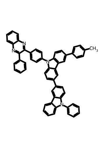 Cc1ccc(-c2ccc3c(c2)c2cc(-c4ccc5c(c4)c4ccccc4n5-c4ccccc4)ccc2n3-c2ccc(-c3nc4ccccc4nc3-c3ccccc3)cc2)cc1